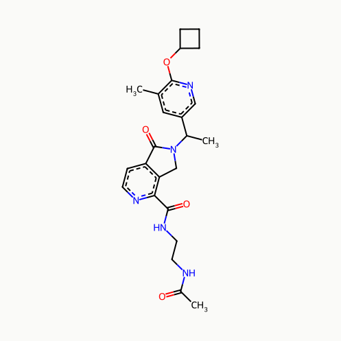 CC(=O)NCCNC(=O)c1nccc2c1CN(C(C)c1cnc(OC3CCC3)c(C)c1)C2=O